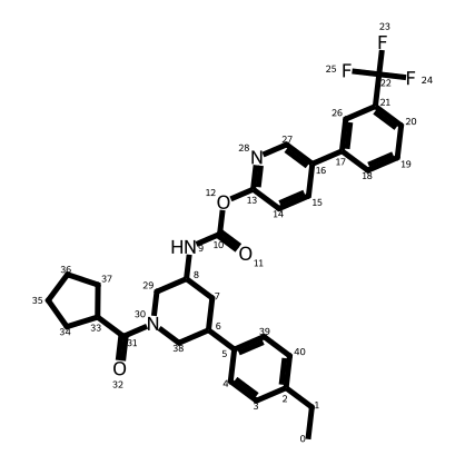 CCc1ccc(C2CC(NC(=O)Oc3ccc(-c4cccc(C(F)(F)F)c4)cn3)CN(C(=O)C3CCCC3)C2)cc1